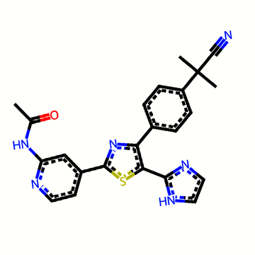 CC(=O)Nc1cc(-c2nc(-c3ccc(C(C)(C)C#N)cc3)c(-c3ncc[nH]3)s2)ccn1